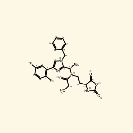 CC(C)(C)[C@H](c1nc(-c2cc(F)ccc2F)cn1Cc1ccccc1)N(CC[C@@H]1NC(=O)OC1=O)C(=O)CO